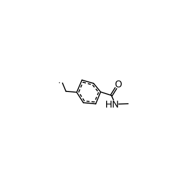 [CH2]Cc1ccc(C(=O)NC)cc1